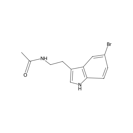 CC(=O)NCCc1c[nH]c2ccc(Br)cc12